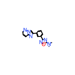 CN(C)c1nc(-c2cccc(-c3cn4ncccc4n3)c2)no1